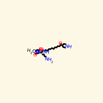 CN1CC(=O)N([C@@H](CCCCN)C(=O)NCCCCCCCCCCC(=O)C2CCNCC2)CC1=O